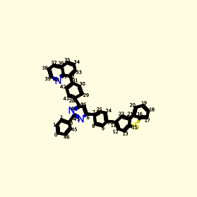 c1ccc(-c2nc(-c3ccc(-c4ccc5sc6ccccc6c5c4)cc3)cc(-c3ccc(-c4cccc5cccnc45)cc3)n2)cc1